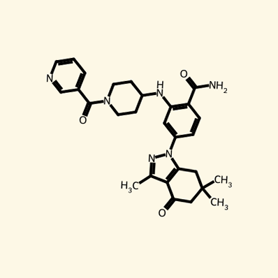 Cc1nn(-c2ccc(C(N)=O)c(NC3CCN(C(=O)c4cccnc4)CC3)c2)c2c1C(=O)CC(C)(C)C2